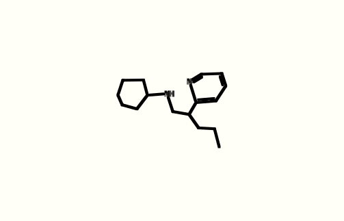 CCCC(CNC1CCCCC1)c1ccccn1